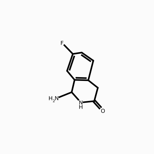 NC1NC(=O)Cc2ccc(F)cc21